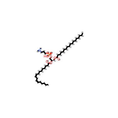 CCCCC/C=C\C/C=C\CCCCCCCC(=O)O[C@H](COC(=O)CCCCCCCCCCCCCCCCC)COP(=O)(O)OCCCN(C)C